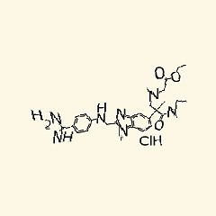 CCOC(=O)CN(C)CC(C)(C(=O)N(C)CC)c1ccc2c(c1)nc(CNc1ccc(C(=N)N)cc1)n2C.Cl